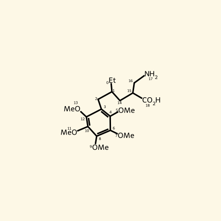 CCC(Cc1c(OC)c(OC)c(OC)c(OC)c1OC)CC(CN)C(=O)O